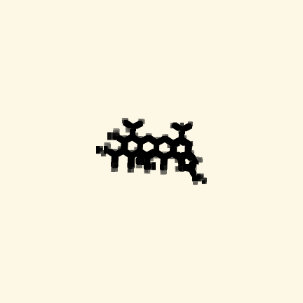 CN(C)c1cc2nc(N)oc2c2c1CC1CC3C(N(C)C)C(O)=C(C(N)=O)C(=O)C3(O)C(O)=C1C2=O